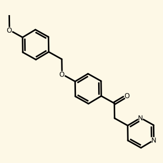 COc1ccc(COc2ccc(C(=O)Cc3ccncn3)cc2)cc1